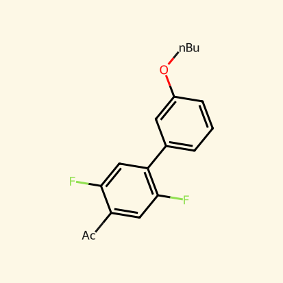 CCCCOc1cccc(-c2cc(F)c(C(C)=O)cc2F)c1